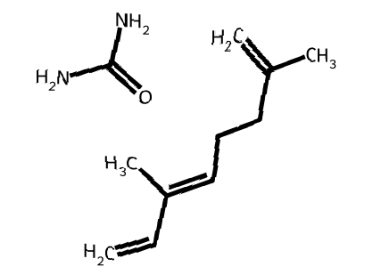 C=C/C(C)=C/CCC(=C)C.NC(N)=O